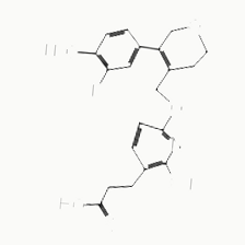 Cc1ccc(C2=C(COc3ccc(CCC(=O)O)c(C)n3)CCOC2)cc1F